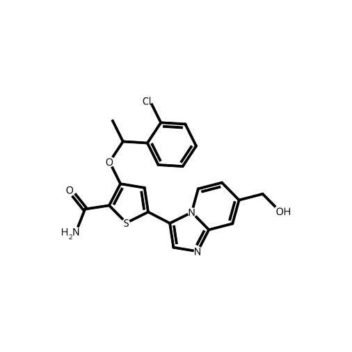 CC(Oc1cc(-c2cnc3cc(CO)ccn23)sc1C(N)=O)c1ccccc1Cl